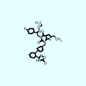 CCON=C(Cn1c(=O)c2cc(CC)sc2n(Cc2ccc(-c3ccccc3-c3noc(=O)[nH]3)cc2)c1=O)c1ccc(F)cc1